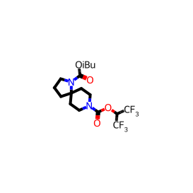 CC(C)COC(=O)N1CCCC12CCN(C(=O)OC(C(F)(F)F)C(F)(F)F)CC2